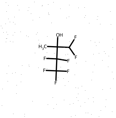 CC(O)(C(F)F)C(F)(F)C(F)(F)F